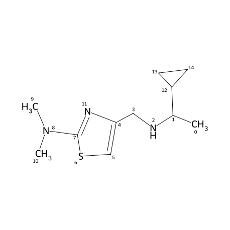 CC(NCc1csc(N(C)C)n1)C1CC1